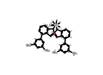 CC(C)(C)c1cc(-c2cccc3c2C=C[CH]3[Hf]([CH3])([CH3])([CH3])([CH3])(=[SiH2])[CH]2C=Cc3c(-c4cc(C(C)(C)C)cc(C(C)(C)C)c4)cccc32)cc(C(C)(C)C)c1